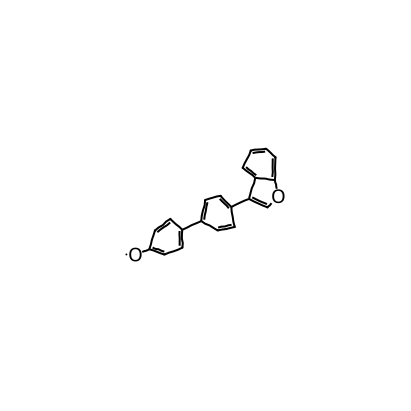 [O]c1ccc(-c2ccc(-c3coc4ccccc34)cc2)cc1